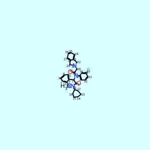 Cc1ccccc1C(C(=O)NC1CCCCC1)N(C(=O)CN1Cc2ccccc2C1)c1cccc(F)c1